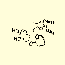 CCCCCC(C)C(CC[C@H]1C(CC(=O)O)[C@@H](O)C[C@H]1O[C@@H]1C=CC=CO1)O[Si](C)(C)C(C)(C)C